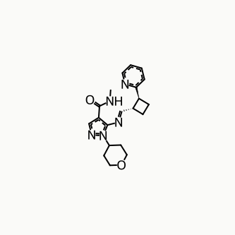 CNC(=O)c1cnn(C2CCOCC2)c1/N=C/[C@H]1CC[C@@H]1c1ccccn1